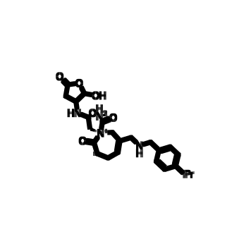 CC(C)c1ccc(CNCC2=CC[C]C(=O)[N@@+](CC(=O)NC3CC(=O)OC3O)(C(N)=O)C2)cc1